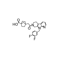 O=C(CC12CCC(C(=O)O)(CC1)C2)N1CCc2c(n(Cc3ccc(F)c(F)c3)c3ncccc23)C1